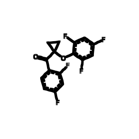 O=C(c1ccc(F)cc1F)C1(Oc2c(F)cc(F)cc2F)CC1